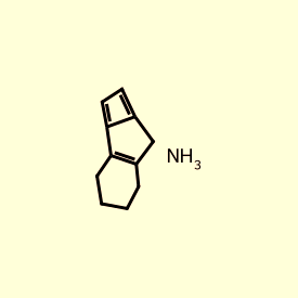 C1=C2CC3=C(CCCC3)C2=C1.N